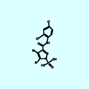 O=C(Nc1ccc(Cl)cc1Cl)c1nn(P(=O)(O)O)c(Br)c1Br